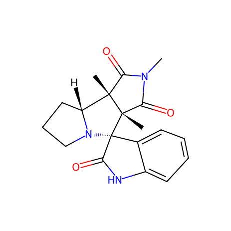 CN1C(=O)[C@@]2(C)[C@@](C)(C1=O)[C@H]1CCCN1[C@]21C(=O)Nc2ccccc21